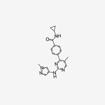 Cc1cnc(Nc2cnn(C)c2)nc1-c1ccc(C(=O)NC2CC2)cc1